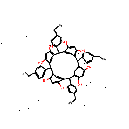 CC(C)Cc1ccc(C2C3=C(O)C=C(O)C(C3)C(c3ccc(CC(C)C)cc3)c3cc(c(O)cc3O)C(c3ccc(CC(C)C)cc3)c3cc(c(O)cc3O)C(c3ccc(CC(C)C)cc3)c3cc2c(O)cc3O)cc1